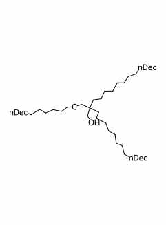 CCCCCCCCCCCCCCCCCCC(CO)(CCCCCCCCCCCCCCCCCC)CCCCCCCCCCCCCCCCCC